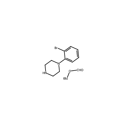 Brc1ccccc1N1CCNCC1.CC(C)(C)OC=O